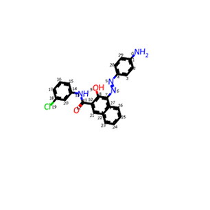 Nc1ccc(N=Nc2c(O)c(C(=O)Nc3cccc(Cl)c3)cc3ccccc23)cc1